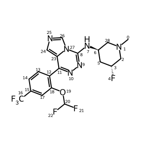 CN1C[C@H](F)C[C@@H](Nc2nnc(-c3ccc(C(F)(F)F)cc3OC(F)F)c3cncn23)C1